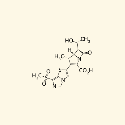 C[C@@H](O)[C@H]1C(=O)N2C(C(=O)O)=C(c3cn4cnc(S(C)(=O)=O)c4s3)[C@H](C)[C@H]12